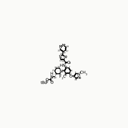 Cn1cc(Oc2ccc(NC(=O)c3csc(-c4ccnnc4)n3)c(N3CCC[C@@H](CNC(=O)OC(C)(C)C)C3)c2C(F)(F)F)cn1